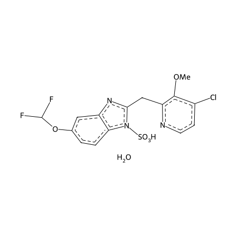 COc1c(Cl)ccnc1Cc1nc2cc(OC(F)F)ccc2n1S(=O)(=O)O.O